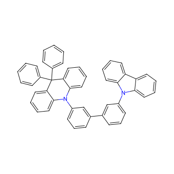 c1ccc(C2(c3ccccc3)c3ccccc3N(c3cccc(-c4cccc(-n5c6ccccc6c6ccccc65)c4)c3)c3ccccc32)cc1